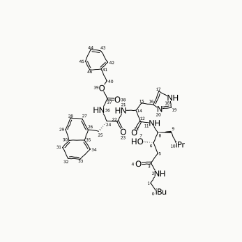 CCC(C)CNC(=O)C[C@H](O)[C@H](CC(C)C)NC(=O)C(Cc1c[nH]cn1)NC(=O)[C@H](Cc1cccc2ccccc12)NC(=O)OCc1ccccc1